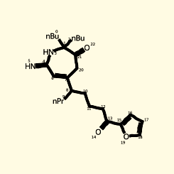 CCCCC1(CCCC)NC(=N)C=C(C(CCC)CCCC(=O)c2ccco2)CC1=O